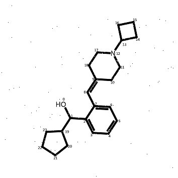 OC(c1ccccc1C=C1CCN(C2CCC2)CC1)C1CCCC1